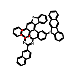 c1ccc(-c2nc(-c3ccc4ccccc4c3)nc(-c3ccc(-n4c5ccccc5c5cc6ccccc6cc54)cc3-c3c4ccccc4cc4sc5ccccc5c34)n2)cc1